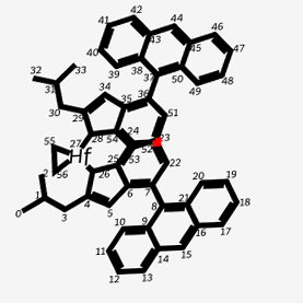 CC(C)CC1=Cc2c(-c3c4ccccc4cc4ccccc34)cccc2[CH]1[Hf]1([CH]2C(CC(C)C)=Cc3c(-c4c5ccccc5cc5ccccc45)cccc32)[CH2][CH2]1